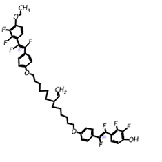 C=CC(CCCCCCOc1ccc(/C(F)=C(\F)c2ccc(O)c(F)c2F)cc1)CCCCCCOc1ccc(/C(F)=C(\F)c2ccc(OCC)c(F)c2F)cc1